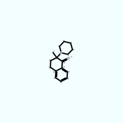 CC1(N2CCCCC2)CCc2ccccc2C1=O